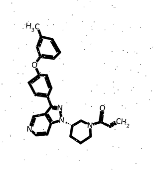 C=CC(=O)N1CCC[C@H](n2nc(-c3ccc(Oc4cccc(C)c4)cc3)c3cnccc32)C1